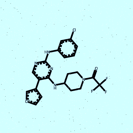 O=C(N1CCC(Nc2nc(Nc3cccc(Cl)c3)ncc2-c2ccoc2)CC1)C(F)(F)F